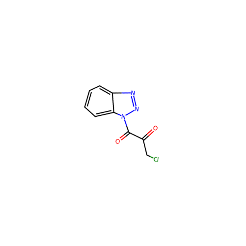 O=C(CCl)C(=O)n1nnc2ccccc21